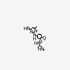 CNCC(C)NOc1cc(Nc2nc(C)cc(NC)n2)ccc1OC